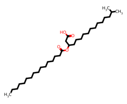 CCCCCCCCCCCCCCCC(=O)OC(CCCCCCCCCCCC(C)C)CC(=O)O